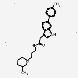 Cc1ccc(-c2ccc3c(CC(=O)NCCCN4CCCC(C)C4)c[nH]c3c2)cc1